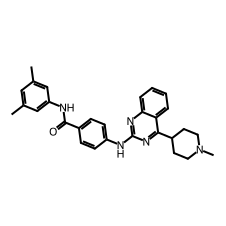 Cc1cc(C)cc(NC(=O)c2ccc(Nc3nc(C4CCN(C)CC4)c4ccccc4n3)cc2)c1